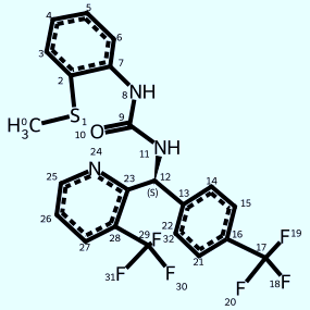 CSc1ccccc1NC(=O)N[C@@H](c1ccc(C(F)(F)F)cc1)c1ncccc1C(F)(F)F